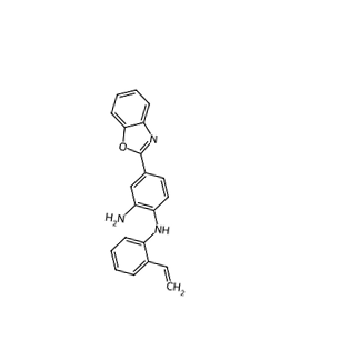 C=Cc1ccccc1Nc1ccc(-c2nc3ccccc3o2)cc1N